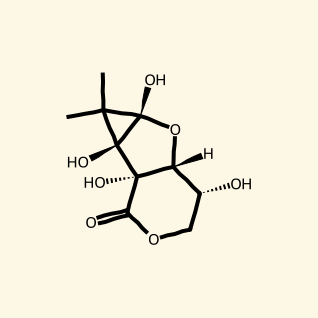 CC1(C)[C@]2(O)[C@@]1(O)O[C@@H]1[C@H](O)COC(=O)[C@]12O